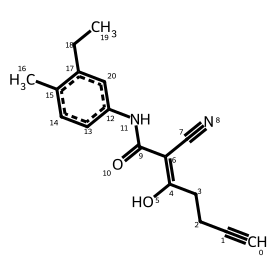 C#CCC/C(O)=C(\C#N)C(=O)Nc1ccc(C)c(CC)c1